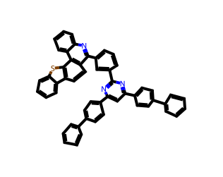 c1ccc(-c2ccc(-c3cc(-c4ccc(-c5ccccc5)cc4)nc(-c4cccc(-c5nc6ccccc6c6c5ccc5c7ccccc7sc56)c4)n3)cc2)cc1